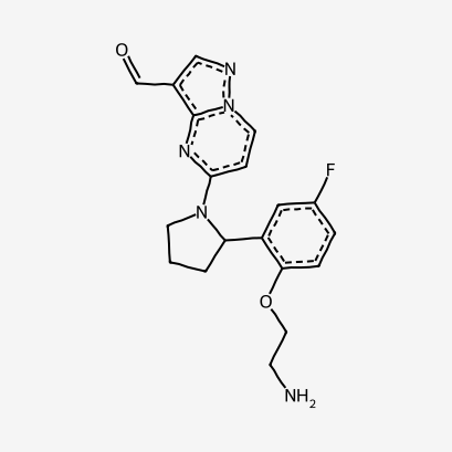 NCCOc1ccc(F)cc1C1CCCN1c1ccn2ncc(C=O)c2n1